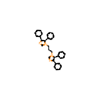 [c]1pc(-c2ccccc2)c(-c2ccccc2)p1CCCp1[c]pc(-c2ccccc2)c1-c1ccccc1